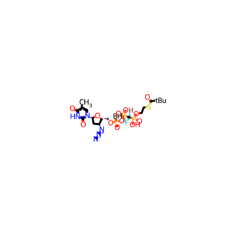 BP(=O)(OC[C@H]1O[C@@H](n2cc(C)c(=O)[nH]c2=O)C[C@H]1N=[N+]=[N-])OP(=O)(O)C(F)(F)P(=O)(O)OCCSC(=O)C(C)(C)C